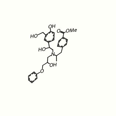 COC(=O)c1ccc(CC(C)N(CC(O)COc2ccccc2)CC(O)c2ccc(O)c(CO)c2)cc1